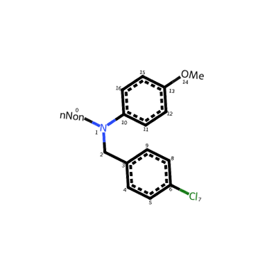 CCCCCCCCCN(Cc1ccc(Cl)cc1)c1ccc(OC)cc1